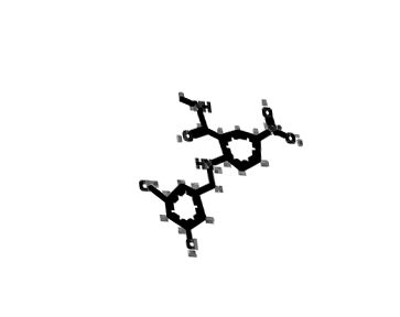 CNC(=O)c1cc([N+](=O)[O-])ccc1NCc1cc(Cl)cc(Cl)c1